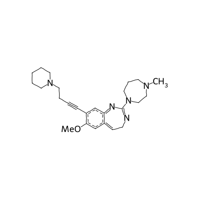 COc1cc2c(cc1C#CCCN1CCCCC1)=NC(N1CCCN(C)CC1)=NCC=2